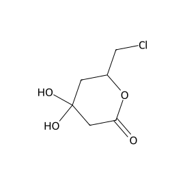 O=C1CC(O)(O)CC(CCl)O1